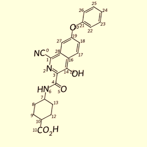 N#Cc1nc(C(=O)NC2CCC(C(=O)O)CC2)c(O)c2ccc(Oc3ccccc3)cc12